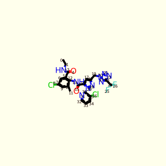 CCNC(=O)c1cc(Cl)cc(C)c1NC(=O)c1cc(Cn2nnc(C(F)F)n2)nn1-c1ncccc1Cl